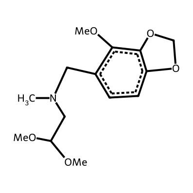 COc1c(CN(C)CC(OC)OC)ccc2c1OCO2